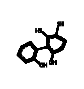 Oc1ccccc1-c1c(O)ccc(S)c1S